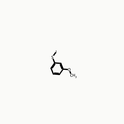 COc1cccc(SI)c1